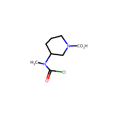 CN(C(=O)Cl)C1CCCN(C(=O)O)C1